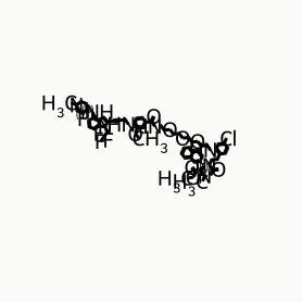 COC(=O)[C@@H]1[C@@H](c2ccc3ccccc3c2)N(CCc2ccc(Cl)cc2NCCOCCOCCOCCNC(=O)c2ccc(NCC#Cc3cc4c(N[C@@H]5CCN(C)C[C@@H]5F)cccc4n3CC(F)(F)F)c(OC)c2)C(=O)CN1C